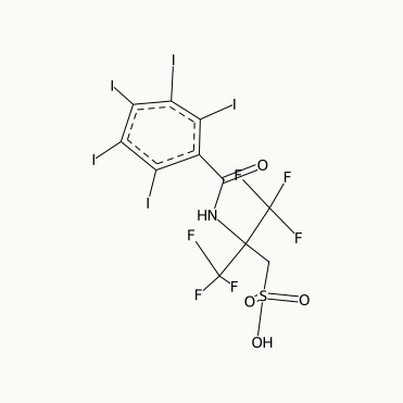 O=C(NC(CS(=O)(=O)O)(C(F)(F)F)C(F)(F)F)c1c(I)c(I)c(I)c(I)c1I